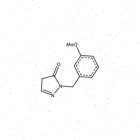 COc1cccc(CN2N=CCC2=O)c1